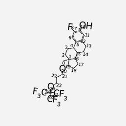 CC12CCC3c4cc(F)c(O)cc4CCC3C1CCC2OCCCOC(C(F)(F)F)(C(F)(F)F)C(F)(F)F